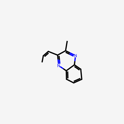 C/C=C\c1nc2ccccc2nc1C